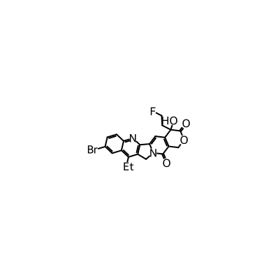 CCc1c2c(nc3ccc(Br)cc13)-c1cc3c(c(=O)n1C2)COC(=O)C3(O)CCF